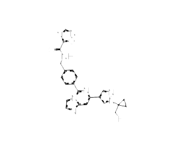 O=C(NCc1ccc(-c2nc(-c3cnn(C4(CF)CC4)c3)cc3nccn23)cc1)c1ncno1